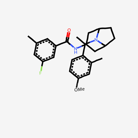 COc1ccc(C(C)N2C3CCC2CC(NC(=O)c2cc(C)cc(F)c2)C3)c(C)c1